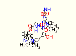 CCn1c(-c2cccnc2C(C)C)c2c3cc(ccc31)-c1cc(O)cc(c1)C[C@H](NC(=O)[C@H](C(C)C)N(C)C(=O)C1CCN(S(=O)(=O)[C@H]3CN3)CC1)C(=O)N1CCC[C@H](N1)C(=O)OCC(C)(C)C2